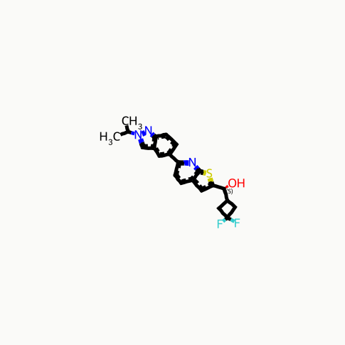 CC(C)n1cc2cc(-c3ccc4cc([C@@H](O)C5CC(F)(F)C5)sc4n3)ccc2n1